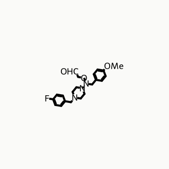 COc1ccc(CN(OCC=O)N2CCN(Cc3ccc(F)cc3)CC2)cc1